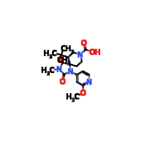 COc1cc(N2C(=O)N(C)C(=O)C23CCN(C(=O)O)CC3C(C)(C)C)ccn1